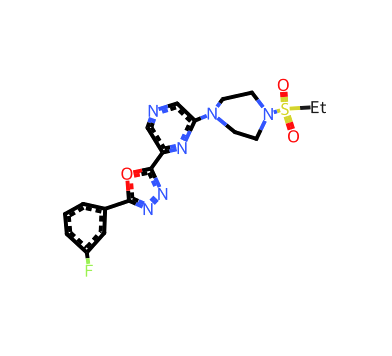 CCS(=O)(=O)N1CCN(c2cncc(-c3nnc(-c4cccc(F)c4)o3)n2)CC1